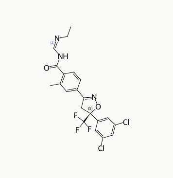 CC/N=C\NC(=O)c1ccc(C2=NO[C@@](c3cc(Cl)cc(Cl)c3)(C(F)(F)F)C2)cc1C